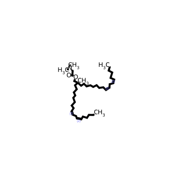 CCCCC/C=C\C/C=C\CCCCCCCCC(C)(CCCCCCCC/C=C\C/C=C\CCCCC)COC(=O)CN(C)C